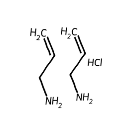 C=CCN.C=CCN.Cl